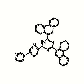 c1cncc(-c2ccc(C3N=C(c4cc5ccccc5c5ccccc45)N=C(c4cc5ccccc5c5ccccc45)N3)nc2)c1